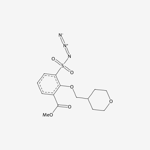 COC(=O)c1cccc(S(=O)(=O)N=[N+]=[N-])c1OCC1CCOCC1